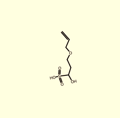 C=CCOCCC(O)S(=O)(=O)O